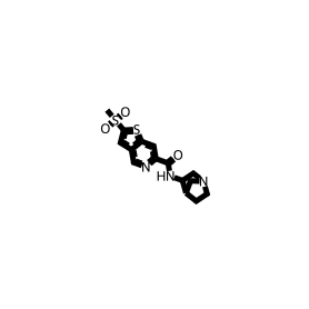 CS(=O)(=O)c1cc2cnc(C(=O)NC3CN4CCC3C4)cc2s1